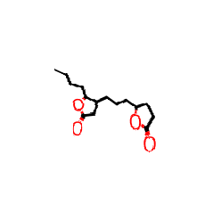 CCCCC1OC(=O)CC1CCCC1CCC(=O)O1